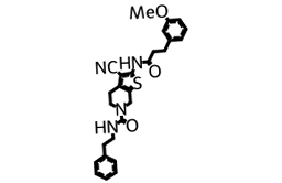 COc1cccc(CCC(=O)Nc2sc3c(c2C#N)CCN(C(=O)NCCc2ccccc2)C3)c1